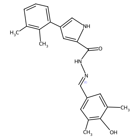 Cc1cccc(-c2c[nH]c(C(=O)N/N=C/c3cc(C)c(O)c(C)c3)c2)c1C